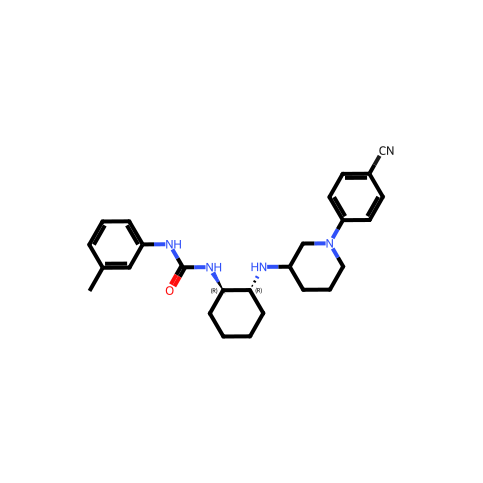 Cc1cccc(NC(=O)N[C@@H]2CCCC[C@H]2NC2CCCN(c3ccc(C#N)cc3)C2)c1